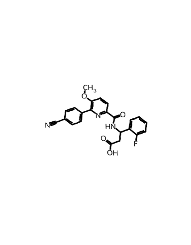 COc1ccc(C(=O)NC(CC(=O)O)c2ccccc2F)nc1-c1ccc(C#N)cc1